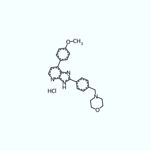 COc1ccc(-c2ccnc3[nH]c(-c4ccc(CN5CCOCC5)cc4)nc23)cc1.Cl